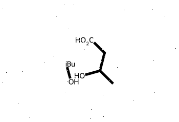 CC(O)CC(=O)O.CCC(C)O